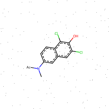 CC(=O)N(C)c1ccc2c(Cl)c(O)c(Cl)cc2c1